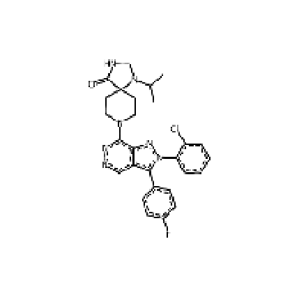 CC(C)N1CNC(=O)C12CCN(c1nncc3c(-c4ccc(F)cc4)n(-c4ccccc4Cl)nc13)CC2